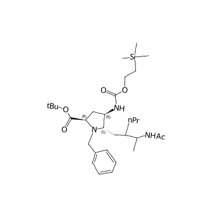 CCCC(C[C@H]1[C@H](NC(=O)OCC[Si](C)(C)C)C[C@H](C(=O)OC(C)(C)C)N1Cc1ccccc1)C(C)NC(C)=O